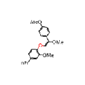 CCCc1ccc(OC=C(OC)c2ccc(OC)cc2)c(OC)c1